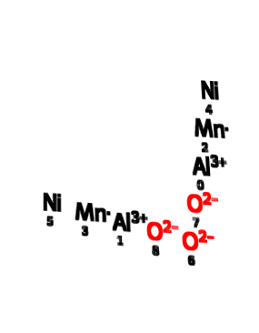 [Al+3].[Al+3].[Mn].[Mn].[Ni].[Ni].[O-2].[O-2].[O-2]